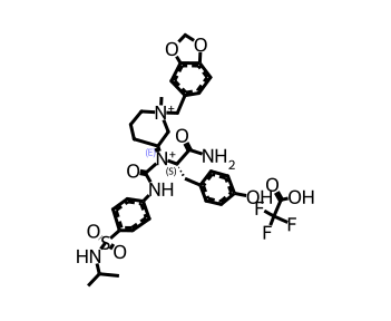 CC(C)NS(=O)(=O)c1ccc(NC(=O)/[N+](=C2\CCC[N+](C)(Cc3ccc4c(c3)OCO4)C2)[C@@H](Cc2ccc(O)cc2)C(N)=O)cc1.O=C(O)C(F)(F)F